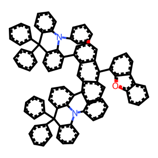 c1ccc(N2c3ccccc3C(c3ccccc3)(c3ccccc3)c3cccc(-c4cccc5c(-c6cccc7c6oc6ccccc67)c6cccc(-c7cccc8c7N(c7ccccc7)c7ccccc7C8(c7ccccc7)c7ccccc7)c6cc45)c32)cc1